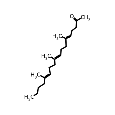 CCCC/C(C)=C/CC/C(C)=C/CC/C(C)=C/CCC(C)=O